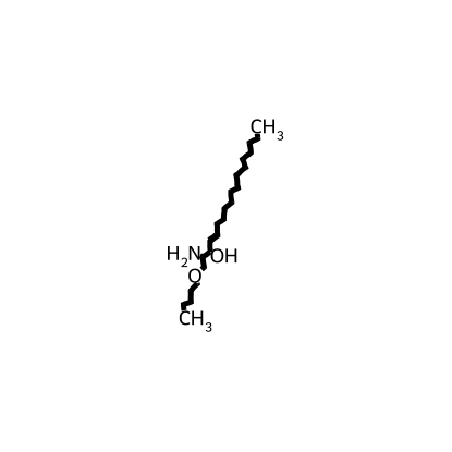 CCCCCCCCCCCCCC=CC(O)C(N)COCCCCC